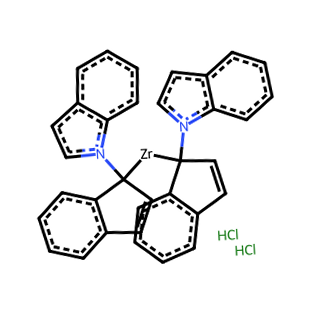 C1=C[C]([Zr][C]2(n3ccc4ccccc43)C=Cc3ccccc32)(n2ccc3ccccc32)c2ccccc21.Cl.Cl